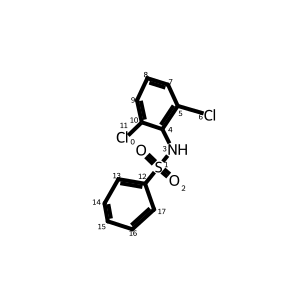 O=S(=O)(Nc1c(Cl)c[c]cc1Cl)c1ccccc1